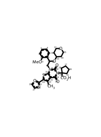 COc1ccccc1C(Cn1c(=O)n(C2(C(=O)O)CCCC2)c(=O)c2c(C)c(-c3ncco3)sc21)OC1CCOCC1